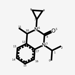 CC(C)N1C(=O)N(C2CC2)C(C)c2ccccc21